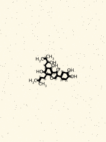 C=C(C)C(O)Cc1c(O)c(CC=C(C)C)c2occ(-c3ccc(O)c(O)c3)c(=O)c2c1O